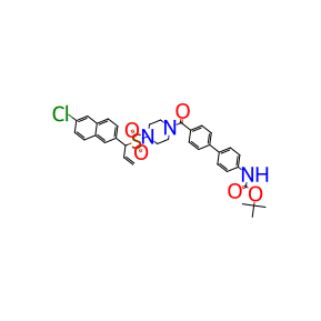 C=CC(c1ccc2cc(Cl)ccc2c1)S(=O)(=O)N1CCN(C(=O)c2ccc(-c3ccc(NC(=O)OC(C)(C)C)cc3)cc2)CC1